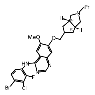 COc1cc2c(Nc3ccc(Br)c(Cl)c3F)ncnc2cc1OCC1C[C@@H]2CN(C(C)C)C[C@@H]2C1